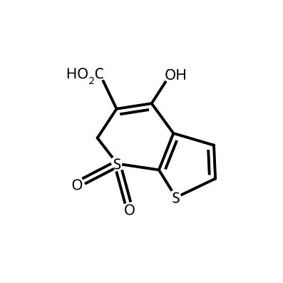 O=C(O)C1=C(O)c2ccsc2S(=O)(=O)C1